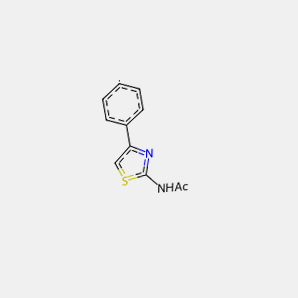 CC(=O)Nc1nc(-c2cc[c]cc2)cs1